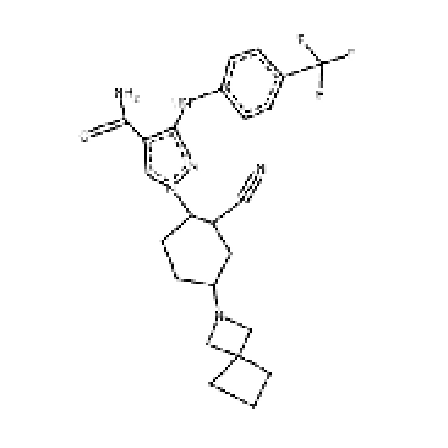 N#CC1CC(N2CC3(CCC3)C2)CCC1n1cc(C(N)=O)c(Nc2ccc(C(F)(F)F)cc2)n1